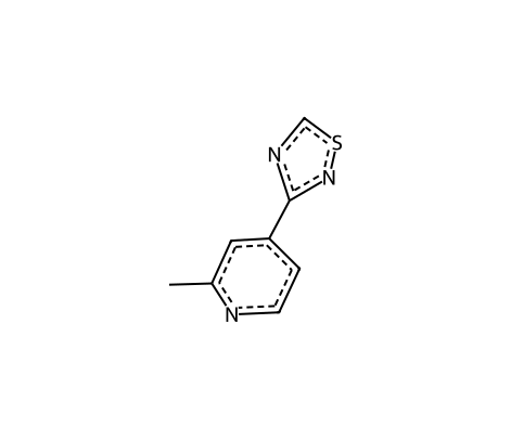 Cc1cc(-c2ncsn2)ccn1